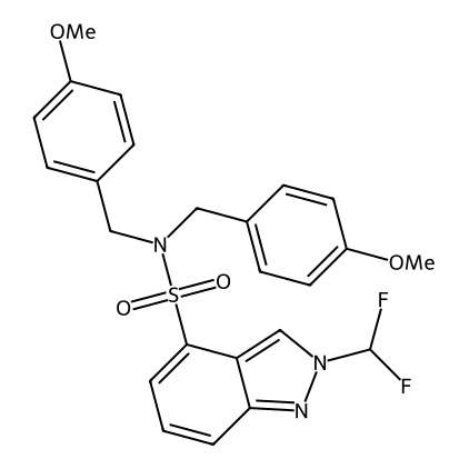 COc1ccc(CN(Cc2ccc(OC)cc2)S(=O)(=O)c2cccc3nn(C(F)F)cc23)cc1